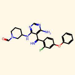 N=C(c1ccc(Oc2ccccc2)cc1F)c1c(N)ncnc1NC1CCCN(C=O)C1